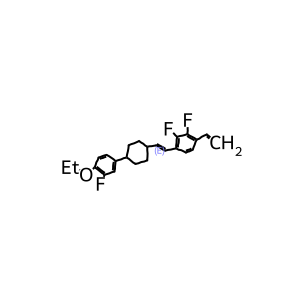 C=Cc1ccc(/C=C/C2CCC(c3ccc(OCC)c(F)c3)CC2)c(F)c1F